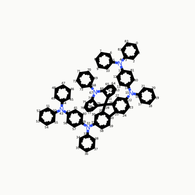 c1ccc(N(c2ccccc2)c2ccc(N(c3ccccc3)c3ccc4c(c3)C3(c5cc(N(c6ccccc6)c6ccc(N(c7ccccc7)c7ccccc7)cc6)ccc5-4)c4ccccc4N(c4ccccc4)c4ccccc43)cc2)cc1